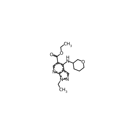 CCOC(=O)c1cnc2c(cnn2CC)c1NC1CCCOC1